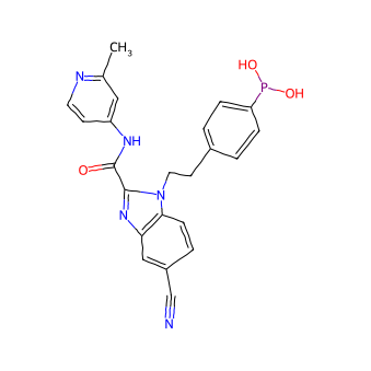 Cc1cc(NC(=O)c2nc3cc(C#N)ccc3n2CCc2ccc(P(O)O)cc2)ccn1